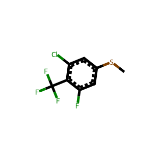 CSc1cc(F)c(C(F)(F)F)c(Cl)c1